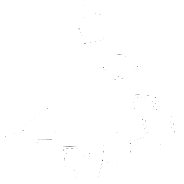 COc1ccc(-c2[nH]c(C3(C)CCN(c4ncnc5[nH]c(-c6ccc(N7CCOCC7)nc6)cc45)CC3)nc2C)cc1F